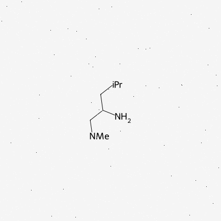 CNCC(N)CC(C)C